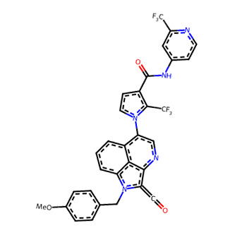 COc1ccc(Cn2c(=C=O)c3ncc(-n4ccc(C(=O)Nc5ccnc(C(F)(F)F)c5)c4C(F)(F)F)c4cccc2c43)cc1